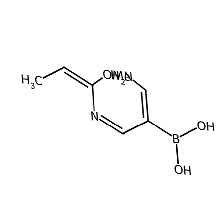 C\C=C(/N=C\C(=C/N)B(O)O)OC